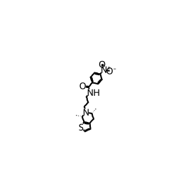 C[C@@H]1Cc2ccsc2[C@H](C)N1CCCNC(=O)c1ccc([N+](=O)[O-])cc1